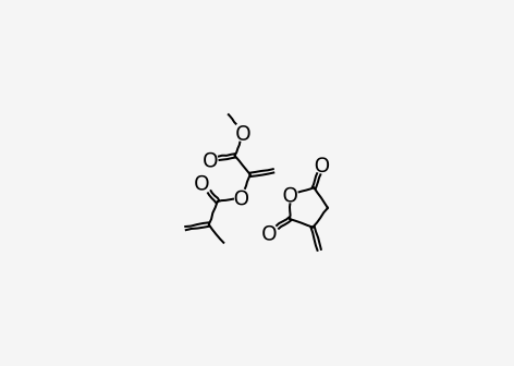 C=C(C)C(=O)OC(=C)C(=O)OC.C=C1CC(=O)OC1=O